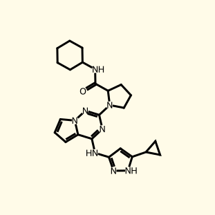 O=C(NC1CCCCC1)C1CCCN1c1nc(Nc2cc(C3CC3)[nH]n2)c2cccn2n1